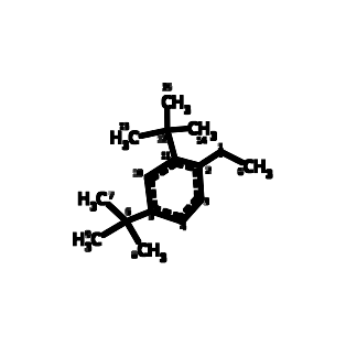 C[CH]c1ccc(C(C)(C)C)cc1C(C)(C)C